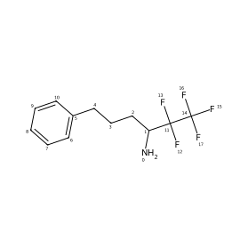 NC(CCCc1ccccc1)C(F)(F)C(F)(F)F